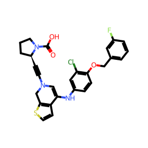 O=C(O)N1CCC[C@@H]1C#CN1C=C(Nc2ccc(OCc3cccc(F)c3)c(Cl)c2)c2ccsc2C1